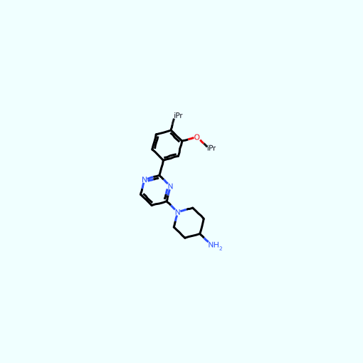 CC(C)Oc1cc(-c2nccc(N3CCC(N)CC3)n2)ccc1C(C)C